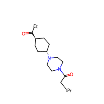 CCC(=O)[C@H]1CC[C@H](N2CCN(C(=O)CC(C)C)CC2)CC1